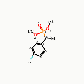 CCOP(=O)(OCC)C(CC)c1ccc(F)cc1